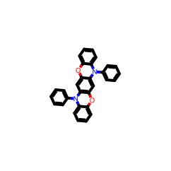 c1ccc(-n2c3ccccc3oc3cc4c(cc32)oc2ccccc2n4-c2ccccc2)cc1